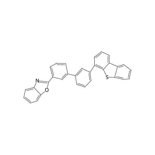 c1cc(-c2cccc(-c3cccc4c3sc3ccccc34)c2)cc(-c2nc3ccccc3o2)c1